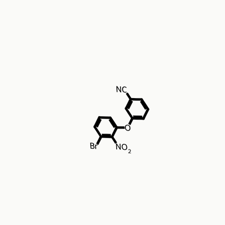 N#Cc1cccc(Oc2cccc(Br)c2[N+](=O)[O-])c1